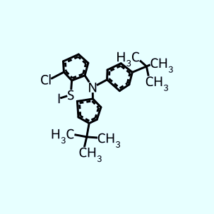 CC(C)(C)c1ccc(N(c2ccc(C(C)(C)C)cc2)c2cccc(Cl)c2SI)cc1